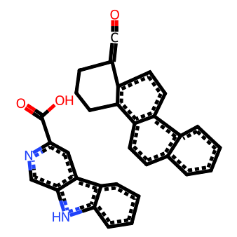 O=C(O)c1cc2c(cn1)[nH]c1ccccc12.O=C=C1CCCc2c1ccc1c2ccc2ccccc21